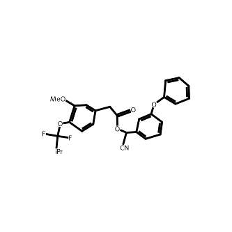 COc1cc(CC(=O)OC(C#N)c2cccc(Oc3ccccc3)c2)ccc1OC(F)(F)C(C)C